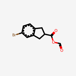 O=COC(=O)C1Cc2ccc(Br)cc2C1